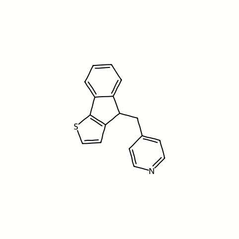 c1ccc2c(c1)-c1sccc1C2Cc1ccncc1